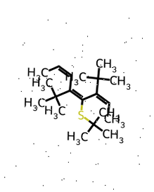 C\C=C/C(=C(SC(C)(C)C)\C(=C/C)C(C)(C)C)C(C)(C)C